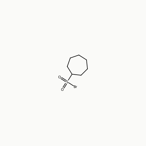 O=S(=O)(Br)C1CCCCCC1